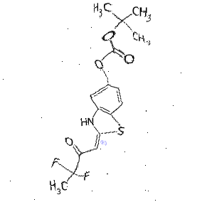 CC(C)(C)OC(=O)Oc1ccc2c(c1)N/C(=C\C(=O)C(C)(F)F)S2